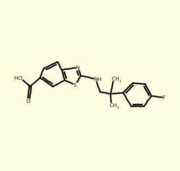 CC(C)(CNc1nc2ccc(C(=O)O)cc2s1)c1ccc(F)cc1